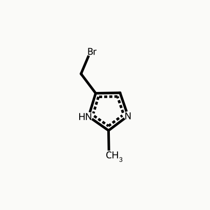 Cc1ncc(CBr)[nH]1